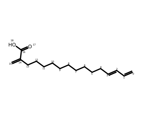 C=CC=CCCCCCCCCCCC(=C)C(=O)O